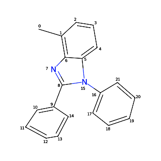 Cc1cccc2c1nc(-c1ccccc1)n2-c1ccccc1